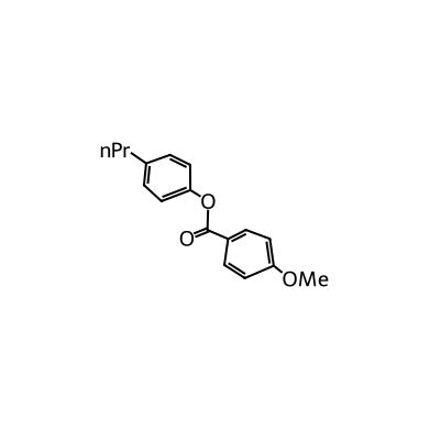 CCCc1ccc(OC(=O)c2ccc(OC)cc2)cc1